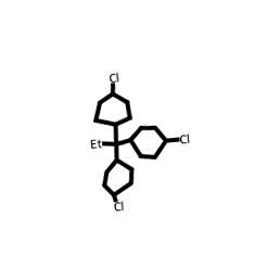 CCC(C1CCC(Cl)CC1)(C1CCC(Cl)CC1)C1CCC(Cl)CC1